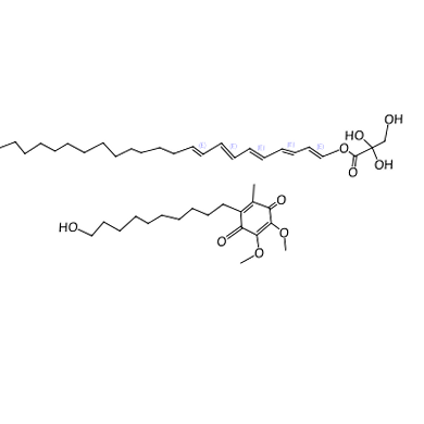 CCCCCCCCCCCCC/C=C/C=C/C=C/C=C/C=C/OC(=O)C(O)(O)CO.COC1=C(OC)C(=O)C(CCCCCCCCCCO)=C(C)C1=O